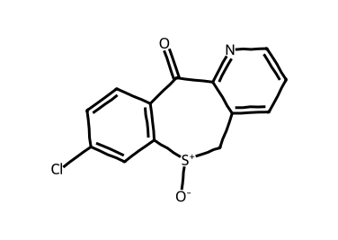 O=C1c2ccc(Cl)cc2[S+]([O-])Cc2cccnc21